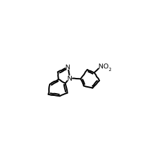 O=[N+]([O-])c1cccc(-n2ncc3ccccc32)c1